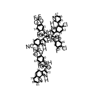 N#Cc1ccc2c(S(=O)(=O)Nc3cc4c(cc3F)OC(F)(F)O4)c[nH]c2c1.O=S(=O)(Nc1cc(F)c(Cl)cc1F)c1c[nH]c2c(-c3cccnc3)c(Cl)ccc12.O=S(=O)(Nc1cc2c(cc1F)OC(F)(F)O2)c1c[nH]c2c1ccc1cccnc12